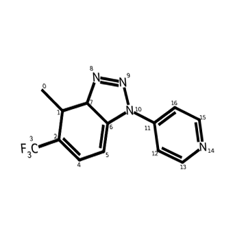 CC1C(C(F)(F)F)=CC=C2C1N=NN2c1ccncc1